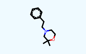 CC1(C)CN(CCc2ccccc2)CCO1